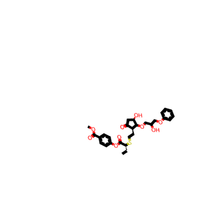 CC[C@@H](SCC[C@H]1C(=O)C[C@@H](O)C1OCC(O)COc1ccccc1)C(=O)Oc1ccc(C(=O)OC)cc1